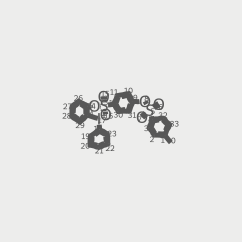 Cc1ccc(S(=O)(=O)Oc2ccc(S(=O)(=O)O[I+](c3ccccc3)c3ccccc3)cc2)cc1